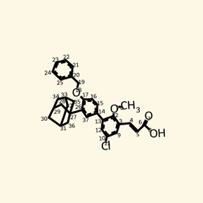 COc1c(C=CC(=O)O)cc(Cl)cc1-c1ccc(OCc2ccccc2)c(C23CC4CC(CC(C4)C2)C3)c1